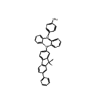 CC(C)(C)c1ccc(N2c3ccccc3N(c3ccc4c(c3)C(C)(C)c3cc(-c5ccccc5)ccc3-4)c3ccccc32)cc1